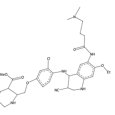 CCOc1cc2c(cc1NC(=O)CCCN(C)C)C(Nc1ccc(OCC3NCCCC3C(=O)OC)cc1Cl)C(C#N)CN2